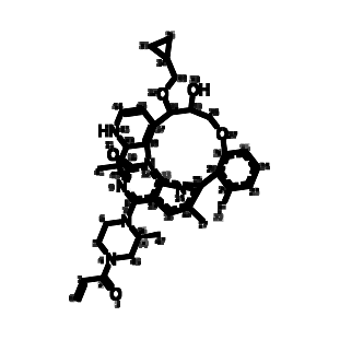 C=CC(=O)N1CCN(c2nc(=O)n3c4nc(c(C)cc24)-c2c(F)cccc2OCC(O)C(OCC2CC2)C2=C3C(C(C)C)NC=C2)[C@@H](C)C1